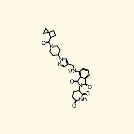 O=C1CCC(N2C(=O)c3cccc(NCc4cnn(C5CCN(C(=O)C6CCC67CC7)CC5)c4)c3C2=O)C(=O)N1